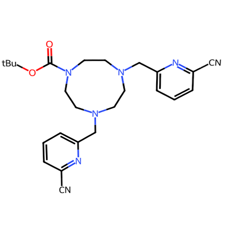 CC(C)(C)OC(=O)N1CCN(Cc2cccc(C#N)n2)CCN(Cc2cccc(C#N)n2)CC1